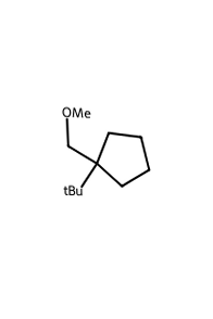 COCC1(C(C)(C)C)CCCC1